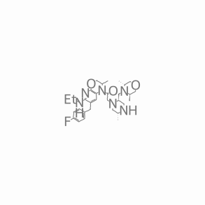 CCNc1nc2c(cc1Cc1ccc(F)cc1)N(C(=O)CN1C[C@@H](C)NC[C@@H]1CN1[C@H](C)COC[C@H]1C)C(C)CO2